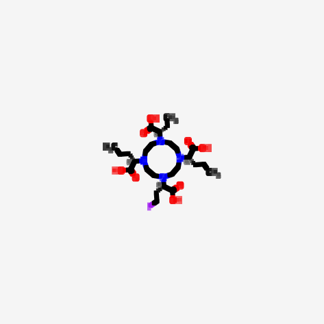 CCC[C@@H](C(=O)O)N1CCN([C@@H](CC)C(=O)O)CCN([C@@H](CCC)C(=O)O)CCN([C@@H](CCI)C(=O)O)CC1